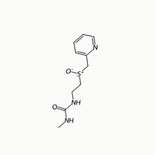 CNC(=O)NCC[S+]([O-])Cc1ccccn1